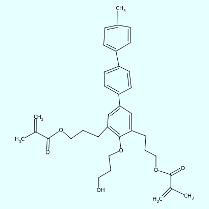 C=C(C)C(=O)OCCCc1cc(-c2ccc(-c3ccc(C)cc3)cc2)cc(CCCOC(=O)C(=C)C)c1OCCCO